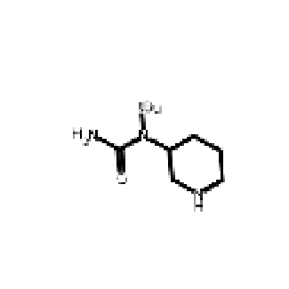 CC(C)(C)N(C(N)=O)C1CCCNC1